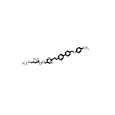 C=C(CCC[CH-][CH2+])OOCc1cnc(CCc2ccc(-c3ccc(COc4ccc(C)cc4)cc3)cc2)nc1